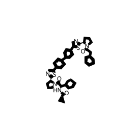 O=C(N[C@@H](C(=O)N1CCC[C@@H]1c1ncc(-c2ccc(-c3ccc(-c4cnc([C@H]5CCCN5C(=O)Cc5ccccc5)s4)cc3)cc2)s1)C1=CC=CCC1)C1CC1